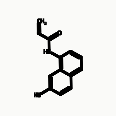 C=CC(=O)Nc1cccc2ccc(S)cc12